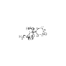 CCOC(C[SiH2]C)(OCC)C1CCC2OC2C1